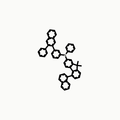 CC1(C)c2cc(N(c3ccccc3)c3cccc(-c4cc5ccccc5cc4-c4ccccc4)c3)ccc2-c2c(-c3cccc4ccccc34)cccc21